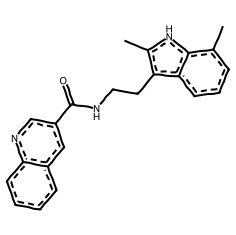 Cc1[nH]c2c(C)cccc2c1CCNC(=O)c1cnc2ccccc2c1